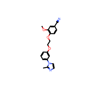 COc1cc(C#N)ccc1OCCOc1cccc(-n2ccnc2C)c1